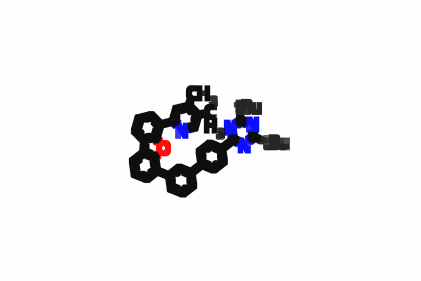 Cc1cnc(-c2cccc3c2oc2c(-c4cccc(-c5ccc(-c6nc(C(C)(C)C)nc(C(C)(C)C)n6)cc5)c4)cccc23)cc1C